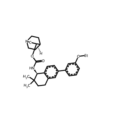 CCOc1cccc(-c2ccc3c(c2)CCC(C)(C)[C@H]3NC(=O)O[C@H]2CN3CCC2CC3)c1